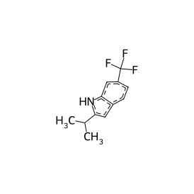 CC(C)c1cc2ccc(C(F)(F)F)cc2[nH]1